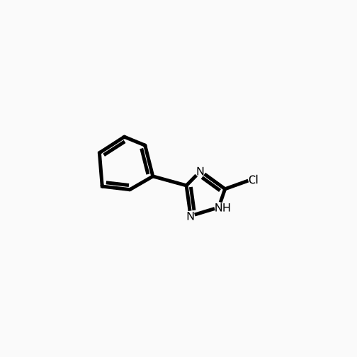 Clc1nc(-c2ccccc2)n[nH]1